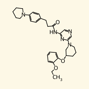 CCOc1ccccc1O[C@@H]1CCCN(c2cncc(NC(=O)CCc3ccc(N4CCCCC4)cc3)n2)C1